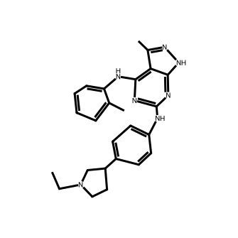 CCN1CCC(c2ccc(Nc3nc(Nc4ccccc4C)c4c(C)n[nH]c4n3)cc2)C1